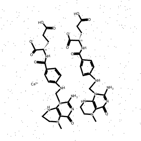 CN1CCNc2c1c(=O)nc(N)n2CNc1ccc(C(=O)N[C@@H](CCC(=O)O)C(=O)[O-])cc1.CN1CCNc2c1c(=O)nc(N)n2CNc1ccc(C(=O)N[C@@H](CCC(=O)O)C(=O)[O-])cc1.[Ca+2]